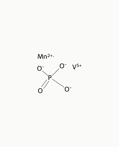 O=P([O-])([O-])[O-].[Mn+2].[V+5]